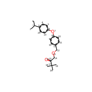 CC(C)c1ccc(Oc2ccc(COCC(=O)C(C)(C)C)cc2)cc1